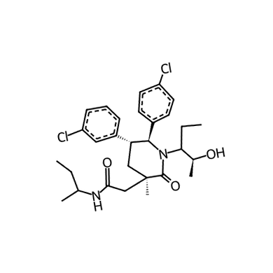 CCC(C)NC(=O)C[C@@]1(C)C[C@H](c2cccc(Cl)c2)[C@@H](c2ccc(Cl)cc2)N(C(CC)[C@H](C)O)C1=O